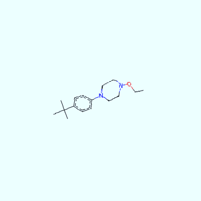 CCON1CCN(c2ccc(C(C)(C)C)cc2)CC1